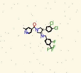 Cc1cc(C(=O)N2C[C@H](c3ccc(Cl)c(Cl)c3)[C@H](N(C)Cc3ccc(C(F)(F)F)c(F)c3)C2)ccn1